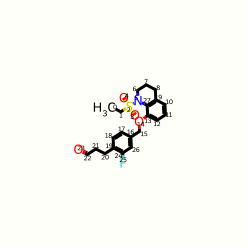 CCS(=O)(=O)N1CCCc2cccc(OCc3ccc(CCC=O)c(F)c3)c21